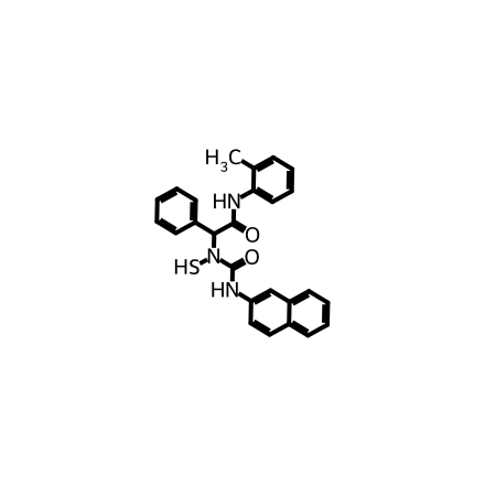 Cc1ccccc1NC(=O)C(c1ccccc1)N(S)C(=O)Nc1ccc2ccccc2c1